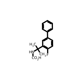 CC(C)(NC(=O)O)c1cc(-c2ccccc2)ccc1F